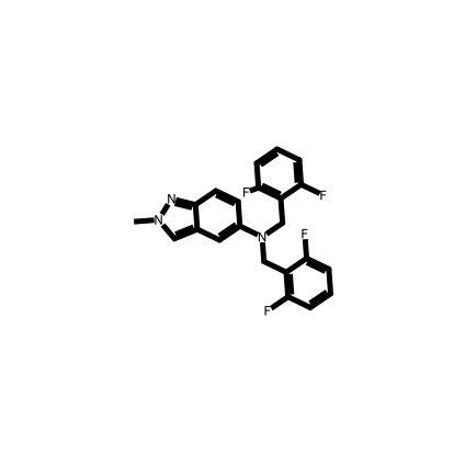 Cn1cc2cc(N(Cc3c(F)cccc3F)Cc3c(F)cccc3F)ccc2n1